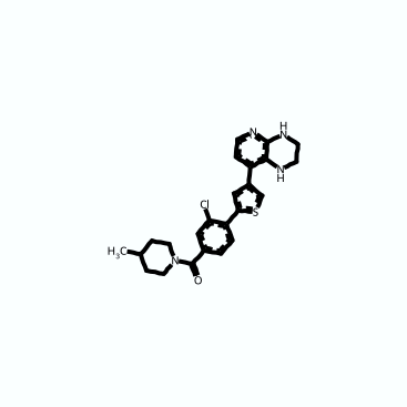 CC1CCN(C(=O)c2ccc(-c3cc(-c4ccnc5c4NCCN5)cs3)c(Cl)c2)CC1